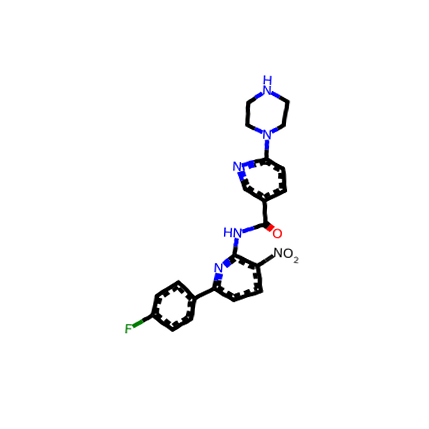 O=C(Nc1nc(-c2ccc(F)cc2)ccc1[N+](=O)[O-])c1ccc(N2CCNCC2)nc1